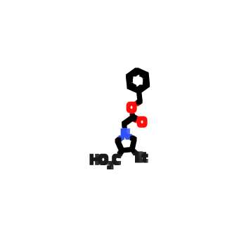 CC[C@@H]1CN(CC(=O)OCc2ccccc2)CC1C(=O)O